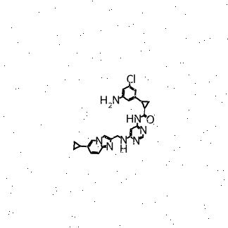 Nc1cc(Cl)cc(C2C[C@H]2C(=O)Nc2cc(NCc3cn4cc(C5CC5)ccc4n3)ncn2)c1